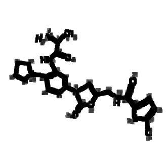 CC(N)C(=O)Nc1cc(N2CC(CNC(=O)c3ccc(Cl)s3)OC2=O)ccc1N1CCCC1